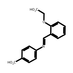 O=C(O)COc1ccccc1C=Nc1ccc(C(=O)O)cc1